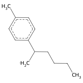 [CH2]C(CCCC)c1ccc(C)cc1